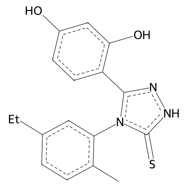 CCc1ccc(C)c(-n2c(-c3ccc(O)cc3O)n[nH]c2=S)c1